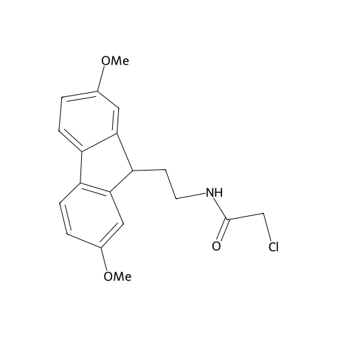 COc1ccc2c(c1)C(CCNC(=O)CCl)c1cc(OC)ccc1-2